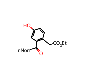 CCCCCCCCCC(=O)c1cc(O)ccc1CC(=O)OCC